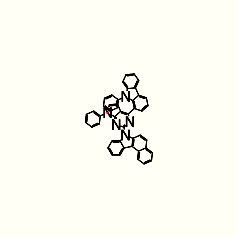 c1ccc(-n2ccc3c(-c4cccc5c6ccccc6n(-c6ccccc6)c45)nc(-n4c5ccccc5c5c6ccccc6ccc54)nc32)cc1